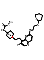 CC(C)(C)OC(=O)NC12CCC(CCc3c(F)cnc4ccc(OCCOC5CCCCO5)nc34)(CC1)OC2